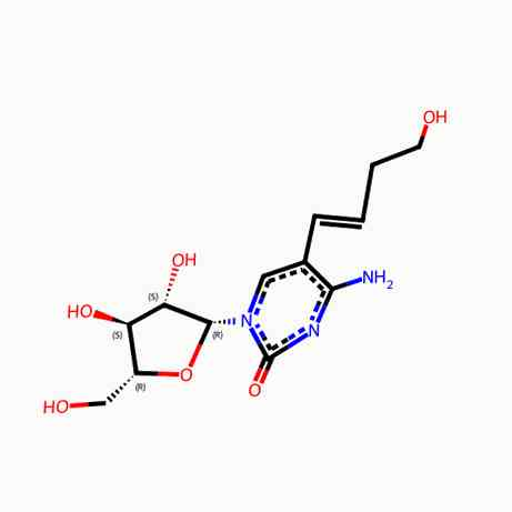 Nc1nc(=O)n([C@@H]2O[C@H](CO)[C@@H](O)[C@@H]2O)cc1C=CCCO